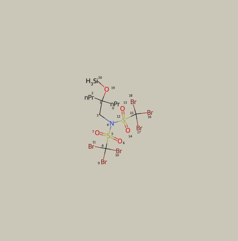 CCCC(CCC)(CN(S(=O)(=O)C(Br)(Br)Br)S(=O)(=O)C(Br)(Br)Br)O[SiH3]